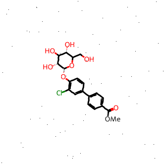 COC(=O)c1ccc(-c2ccc(O[C@H]3OC(CO)[C@@H](O)C(O)[C@H]3O)c(Cl)c2)cc1